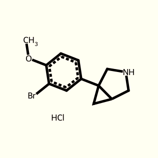 COc1ccc(C23CNCC2C3)cc1Br.Cl